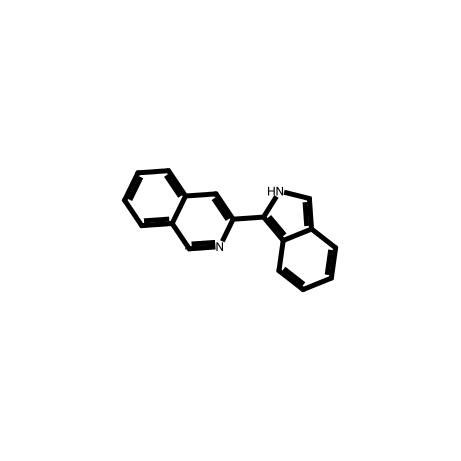 [c]1nc(-c2[nH]cc3ccccc23)cc2ccccc12